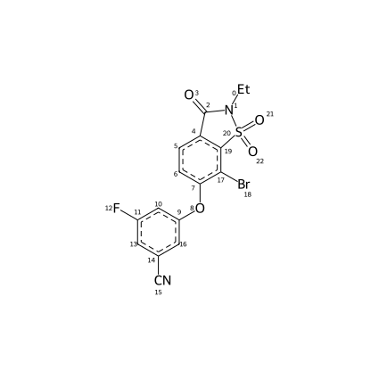 CCN1C(=O)c2ccc(Oc3cc(F)cc(C#N)c3)c(Br)c2S1(=O)=O